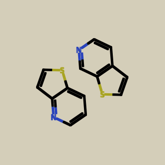 c1cc2ccsc2cn1.c1cnc2ccsc2c1